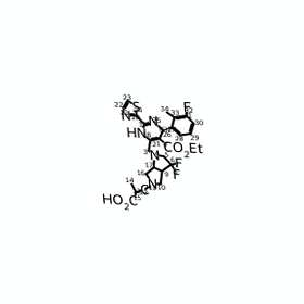 CCOC(=O)C1=C(CN2CC(F)(F)C3CN(CC(C)C(=O)O)CC32)NC(c2nccs2)=N[C@H]1c1cccc(F)c1C